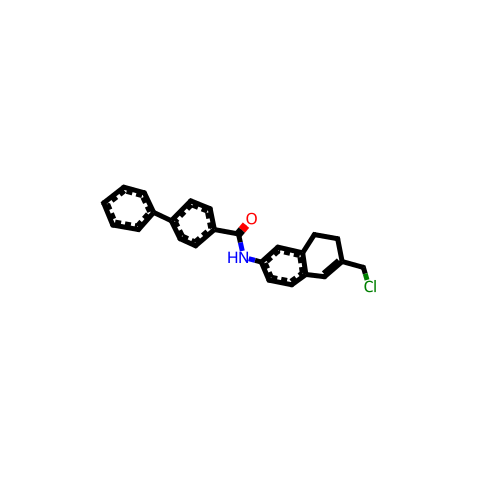 O=C(Nc1ccc2c(c1)CCC(CCl)=C2)c1ccc(-c2ccccc2)cc1